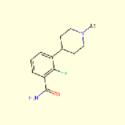 CCN1CCC(c2cccc(C(N)=O)c2F)CC1